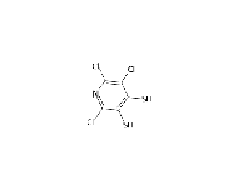 Sc1c(Cl)nc(Cl)c(Cl)c1S